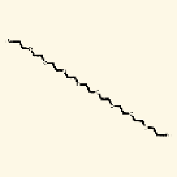 CC(C)(C)CCOCCOCCOCCOCCOCCOCCOCCOCCC(C)(C)C